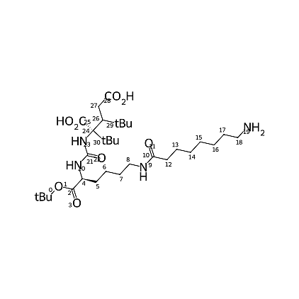 CC(C)(C)OC(=O)[C@H](CCCCNC(=O)CCCCCCCN)NC(=O)N[C@@](C(=O)O)(C(CC(=O)O)C(C)(C)C)C(C)(C)C